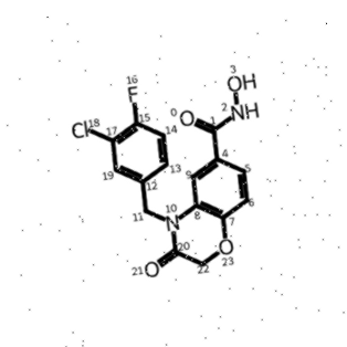 O=C(NO)c1ccc2c(c1)N(Cc1ccc(F)c(Cl)c1)C(=O)CO2